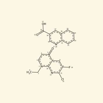 CCn1ccc(=O)c2cc(F)c(Cl)nc21.O=C(O)c1cnc2ccccc2c1